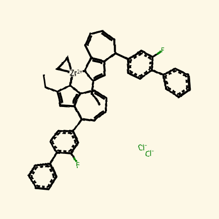 CCC1=CC2=C(C=CC=CC2c2ccc(-c3ccccc3)c(F)c2)[CH]1[Zr+2]1([CH]2C(CC)=CC3=C2C=CC=CC3c2ccc(-c3ccccc3)c(F)c2)[CH2][CH2]1.[Cl-].[Cl-]